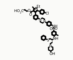 CCn1c(C)c(C(=O)OCCC(=O)O)c(-c2cccc(N3CCN(c4ccc(NS(=O)(=O)c5ccc(N[C@H](CCN6CCC(O)CC6)CSc6ccccc6)c(C)c5)cc4)CC3)c2)c1-c1ccc(Cl)cc1